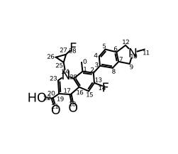 Cc1c(-c2ccc3c(c2)CN(C)C3)c(F)cc2c(=O)c(C(=O)O)cn(C3CC3F)c12